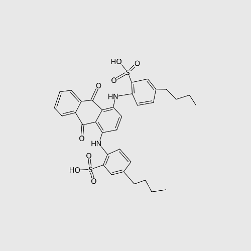 CCCCc1ccc(Nc2ccc(Nc3ccc(CCCC)cc3S(=O)(=O)O)c3c2C(=O)c2ccccc2C3=O)c(S(=O)(=O)O)c1